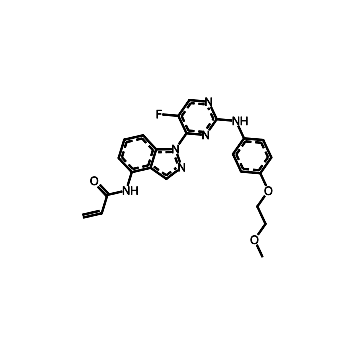 C=CC(=O)Nc1cccc2c1cnn2-c1nc(Nc2ccc(OCCOC)cc2)ncc1F